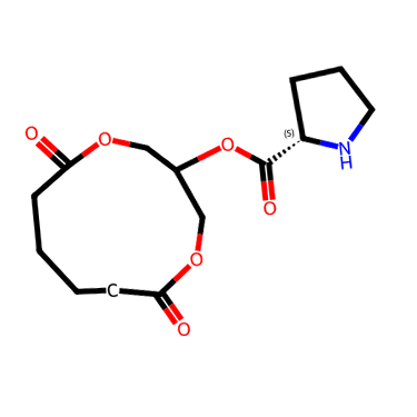 O=C1CCCCC(=O)OCC(OC(=O)[C@@H]2CCCN2)CO1